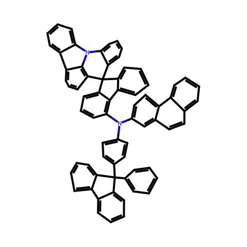 c1ccc(C2(c3ccc(N(c4ccc5c(ccc6ccccc65)c4)c4cccc5c4-c4ccccc4C54c5ccccc5-n5c6ccccc6c6cccc4c65)cc3)c3ccccc3-c3ccccc32)cc1